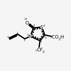 C=CCn1c(C(F)(F)F)c(C(=O)O)sc1=O